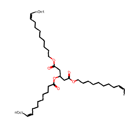 CCCCCCCC/C=C\CCCCCCCCOC(=O)CC(CC(=O)OCCCCCCCC/C=C\CCCCCCCC)OC(=O)CCCCCCC/C=C\CCCCCCCC